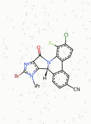 CC(C)n1c(Br)nc2c1[C@H]1c3ccc(C#N)cc3-c3ccc(Cl)c(F)c3N1C2=O